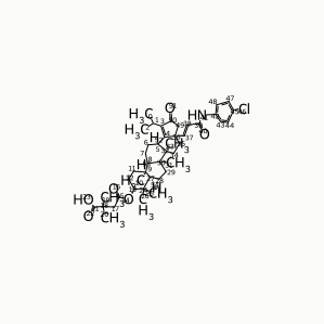 CC(C)C1=C2[C@H]3CC[C@@H]4[C@@]5(C)CC[C@H](OC(=O)CC(C)(C)C(=O)O)C(C)(C)[C@@H]5CC[C@@]4(C)[C@]3(C)CC[C@@]2(/C=C/C(=O)Nc2ccc(Cl)cc2)CC1=O